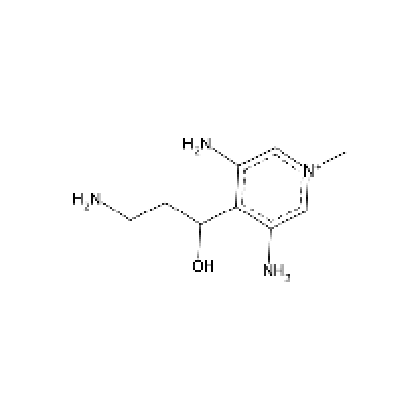 C[n+]1cc(N)c(C(O)CCN)c(N)c1